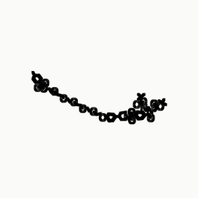 Cc1ccc(S(=O)(=O)OCCOCCOCCOCCOCCOCCOc2ccc(C3CCN(S(=O)(=O)c4ccc5c(c4)N(C(=O)OC(C)(C)C)CN(CC(=O)OC(C)(C)C)C5=O)CC3)cc2)cc1